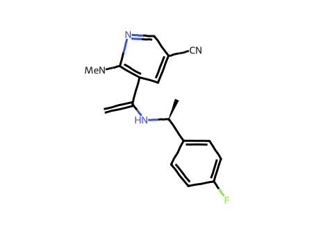 C=C(N[C@@H](C)c1ccc(F)cc1)c1cc(C#N)cnc1NC